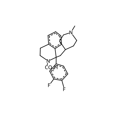 CN1CCC(CC2(c3ccc(F)c(F)c3)c3ccccc3CCN2C(=O)O)CC1